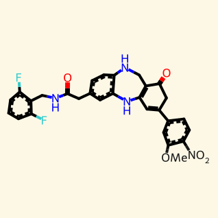 COc1cc(C2=CC3=C(CNc4ccc(CC(=O)NCc5c(F)cccc5F)cc4N3)C(=O)C2)ccc1[N+](=O)[O-]